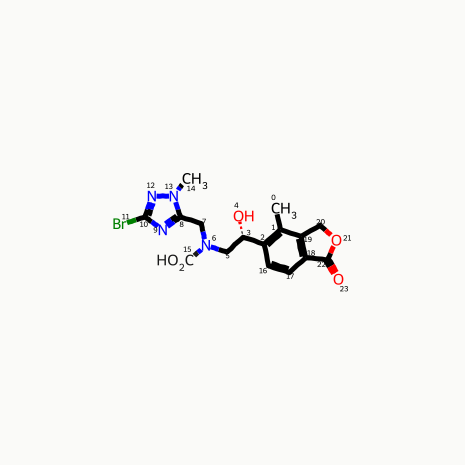 Cc1c([C@@H](O)CN(Cc2nc(Br)nn2C)C(=O)O)ccc2c1COC2=O